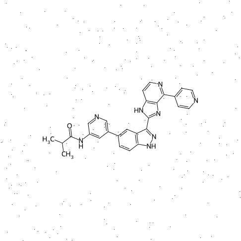 CC(C)C(=O)Nc1cncc(-c2ccc3[nH]nc(-c4nc5c(-c6ccncc6)nccc5[nH]4)c3c2)c1